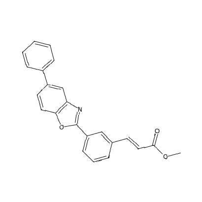 COC(=O)/C=C/c1cccc(-c2nc3cc(-c4ccccc4)ccc3o2)c1